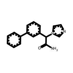 NC(=O)C(c1cccc(-c2ccccc2)c1)n1ccnc1